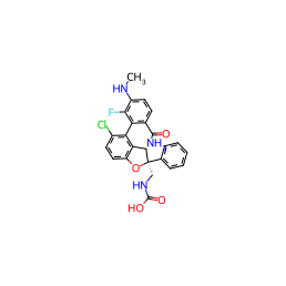 CNc1ccc(C(N)=O)c(-c2c(Cl)ccc3c2C[C@@](CNC(=O)O)(c2ccccc2)O3)c1F